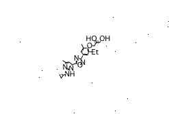 CCc1cc(-c2noc(-c3cc(C)nc(NC4CC4)n3)n2)cc(C)c1OC[C@@H](O)CO